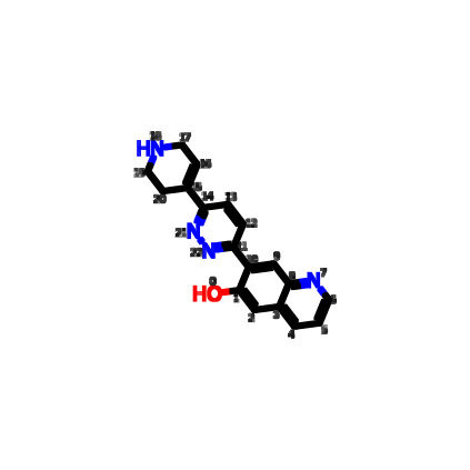 Oc1cc2cccnc2cc1-c1ccc(C2=CCNCC2)nn1